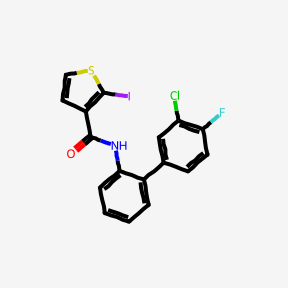 O=C(Nc1ccccc1-c1ccc(F)c(Cl)c1)c1ccsc1I